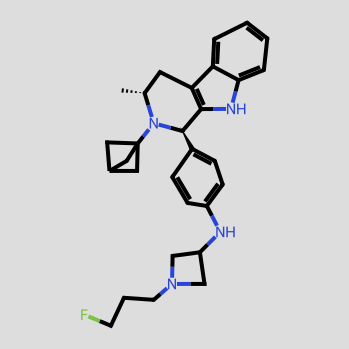 C[C@@H]1Cc2c([nH]c3ccccc23)[C@@H](c2ccc(NC3CN(CCCF)C3)cc2)N1C12CC(C1)C2